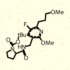 COCCCc1nc(OC)c(CNC(=O)C2CCCN2C(=O)OC(C)(C)C)cc1F